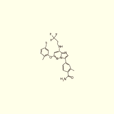 Cc1ccc(F)cc1Oc1cc(NCCC(F)(F)F)c2ncc(-c3ccc(C(N)=O)c(C)c3)n2n1